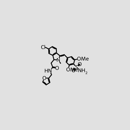 COc1cc(C=C2c3ccc(Cl)cc3C(CC(=O)NCc3ccco3)N2C)cc(OC)c1S(N)(=O)=O